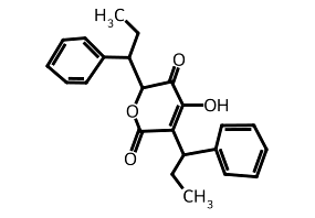 CCC(C1=C(O)C(=O)C(C(CC)c2ccccc2)OC1=O)c1ccccc1